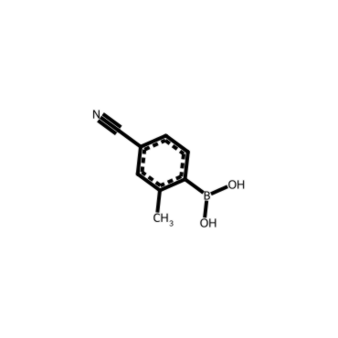 Cc1cc(C#N)ccc1B(O)O